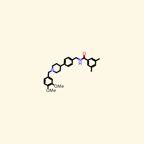 COc1ccc(CN2CCC(c3ccc(CNC(=O)c4cc(C)cc(C)c4)cc3)CC2)cc1OC